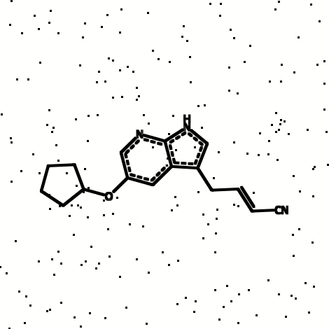 N#CC=CCc1c[nH]c2ncc(OC3CCCC3)cc12